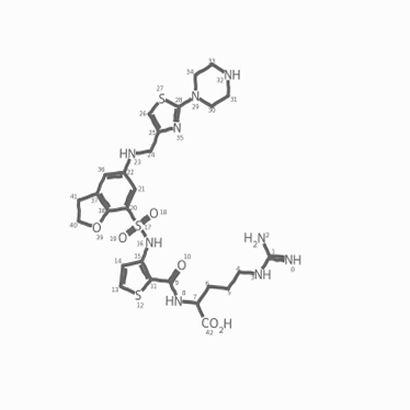 N=C(N)NCCCC(NC(=O)c1sccc1NS(=O)(=O)c1cc(NCc2csc(N3CCNCC3)n2)cc2c1OCC2)C(=O)O